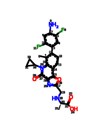 Cc1c(-c2cc(F)c(N)cc2F)ccc2c3oc(CN[C@@H](C)C(=O)O)nc3c(=O)n(C3CC3)c12